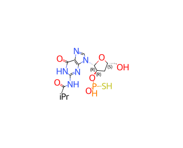 CC(C)C(=O)Nc1nc2c(ncn2[C@@H]2O[C@H](CO)C[C@H]2O[PH](=O)S)c(=O)[nH]1